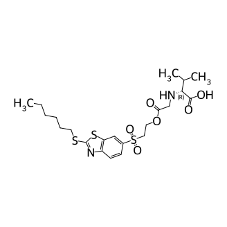 CCCCCCSc1nc2ccc(S(=O)(=O)CCOC(=O)CN[C@@H](C(=O)O)C(C)C)cc2s1